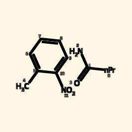 CCCC(N)=O.Cc1ccccc1[N+](=O)[O-]